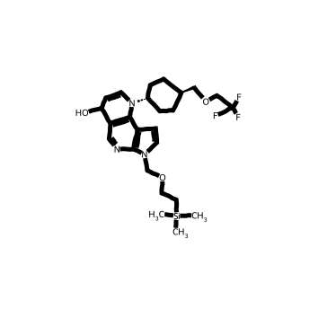 C[Si](C)(C)CCOCn1ccc2c3c(cnc21)C(O)C=CN3[C@H]1CC[C@H](COCC(F)(F)F)CC1